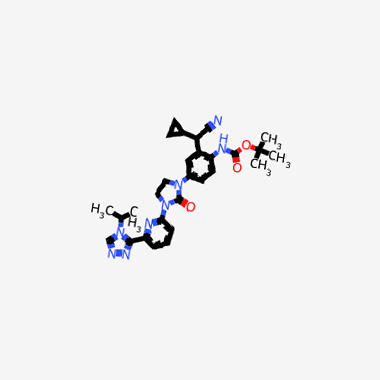 CC(C)n1cnnc1-c1cccc(N2CCN(c3ccc(NC(=O)OC(C)(C)C)c(C(C#N)C4CC4)c3)C2=O)n1